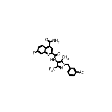 CC(=O)c1cccc(Cn2nc(C(F)(F)F)c(NC(=O)c3cc(C(N)=O)c4ccc(F)cc4n3)c2C)c1